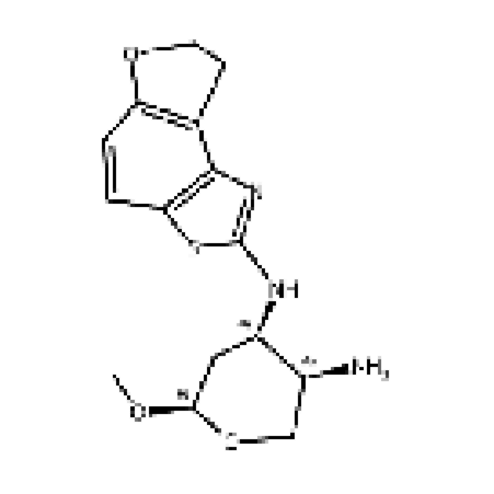 CO[C@H]1C[C@@H](Nc2nc3c4c(ccc3s2)OCC4)[C@@H](N)CO1